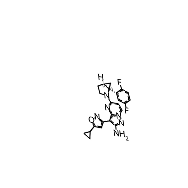 Nc1nn2ccc(N3CC[C@H]4C[C@]43c3cc(F)ccc3F)nc2c1-c1cc(C2CC2)on1